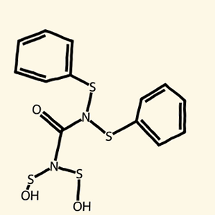 O=C(N(SO)SO)N(Sc1ccccc1)Sc1ccccc1